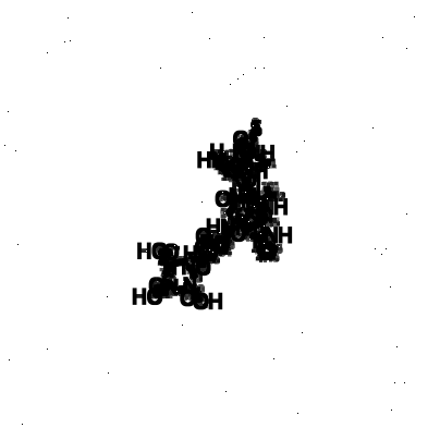 CSCC[C@H](NC(=O)[C@H](CC(C)C)NC(=O)[C@H](Cc1c[nH]cn1)NC(=O)CNC(=O)[C@@H](NC(=O)[C@H](C)NC(=O)[C@H](Cc1c[nH]c2ccccc12)NC(=O)[C@H](CCC(N)=O)NC(=O)c1ccc(CNC(=O)CN2CCN(CC(=O)O)CCN(CC(=O)O)CCN(CC(=O)O)CC2)c([N+](=O)[O-])c1)C(C)C)C(N)=O